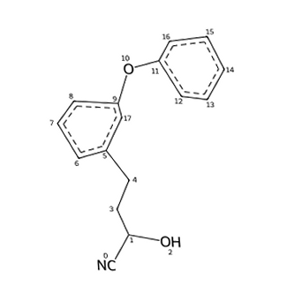 N#CC(O)CCc1cccc(Oc2ccccc2)c1